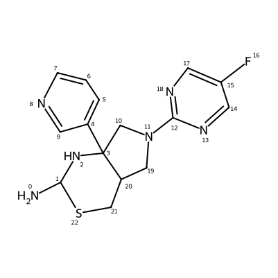 NC1NC2(c3cccnc3)CN(c3ncc(F)cn3)CC2CS1